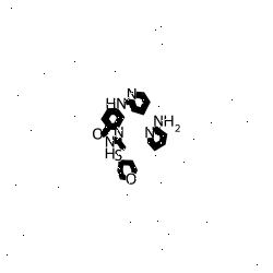 Nc1ccccn1.O=c1[nH]c(CSC2CCOCC2)nc2cc(Nc3ccccn3)ccc12